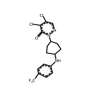 O=c1c(Cl)c(Cl)cnn1C1CCC(Nc2ccc(C(F)(F)F)cc2)CC1